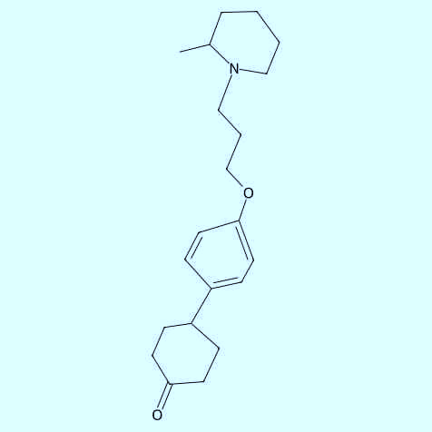 CC1CCCCN1CCCOc1ccc(C2CCC(=O)CC2)cc1